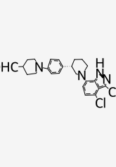 N#Cc1n[nH]c2c(N3CCC[C@@H](c4ccc(N5CCC(C=O)CC5)cc4)C3)ccc(Cl)c12